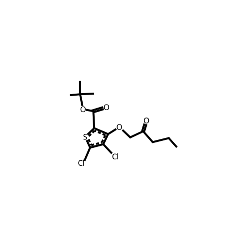 CCCC(=O)COc1c(C(=O)OC(C)(C)C)sc(Cl)c1Cl